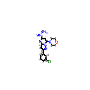 NNc1cc(N2CCOCC2)n2nc(-c3cccc(Cl)c3)cc2n1